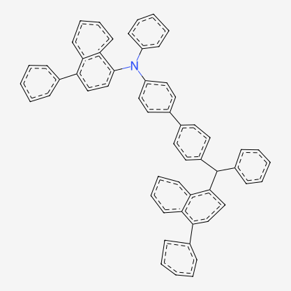 c1ccc(-c2ccc(C(c3ccccc3)c3ccc(-c4ccc(N(c5ccccc5)c5ccc(-c6ccccc6)c6ccccc56)cc4)cc3)c3ccccc23)cc1